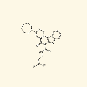 CC(C)N(CCNC(=O)c1c(=O)c2cc(N3CCCCCC3)nnc2n2c1sc1ccccc12)C(C)C